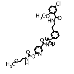 COCCNC(=O)Oc1ccc(C(=O)NS(=O)(=O)c2cccc(CCNC(=O)c3cc(Cl)ccc3OC)c2)cn1